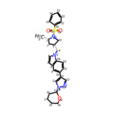 C[C@H]1C[C@@H](Cn2ccc3cc(-c4cnn(C5CCCCO5)c4)ccc32)CN1S(=O)(=O)c1ccccc1